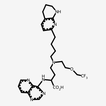 O=C(O)C(CCN(CCCCc1ccc2c(n1)NCCC2)CCOCC(F)(F)F)Nc1ncnc2cccnc12